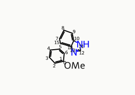 COc1ccccc1.c1ccc2[nH]cnc2c1